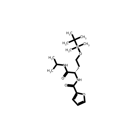 CC(C)NC(=O)[C@H](CCO[Si](C)(C)C(C)(C)C)NC(=O)c1ccco1